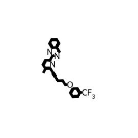 Cc1ccc(-c2ncc3ccccc3n2)nc1C#CCCCOc1cccc(C(F)(F)F)c1